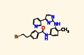 Cc1ccc(NC(=O)c2ccc(CCBr)cc2)cc1Nc1nccc(-c2cccnc2)n1